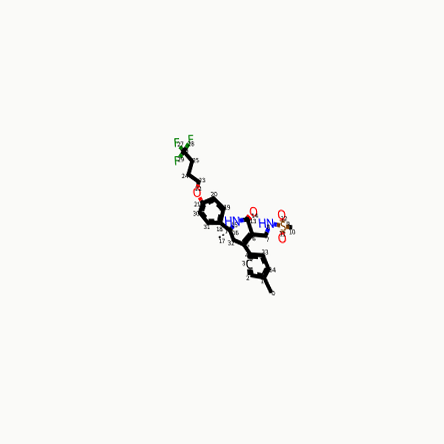 Cc1ccc(C2=C(CNS(C)(=O)=O)C(=O)N[C@](C)(c3ccc(OCCCC(F)(F)F)cc3)C2)cc1